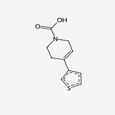 O=C(O)N1CC=C(c2ccsc2)CC1